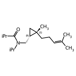 CC(C)=CCC[C@@]1(C)C[C@H]1CN(C(=O)C(C)C)C(C)C